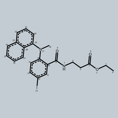 CCOC(=O)CCNC(=O)c1cc(I)ccc1N(C)c1cccc2ccccc12